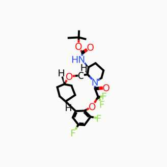 CC(C)(C)OC(=O)N[C@H]1CCCN2C(=O)C(F)(F)Oc3c(F)cc(F)cc3[C@H]3CC[C@H](CC3)OC[C@@H]12